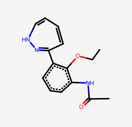 CCOc1c(NC(C)=O)cccc1C1=NNC=CC=C1